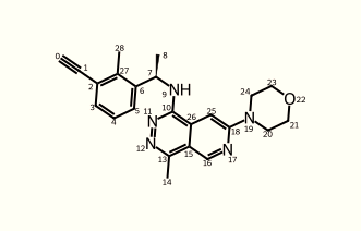 C#Cc1cccc([C@@H](C)Nc2nnc(C)c3cnc(N4CCOCC4)cc23)c1C